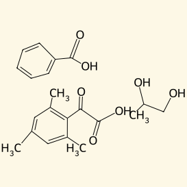 CC(O)CO.Cc1cc(C)c(C(=O)C(=O)O)c(C)c1.O=C(O)c1ccccc1